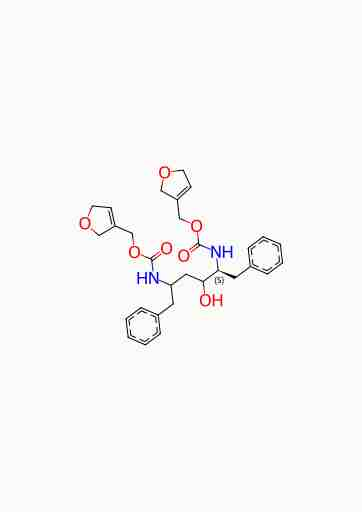 O=C(NC(Cc1ccccc1)CC(O)[C@H](Cc1ccccc1)NC(=O)OCC1=CCOC1)OCC1=CCOC1